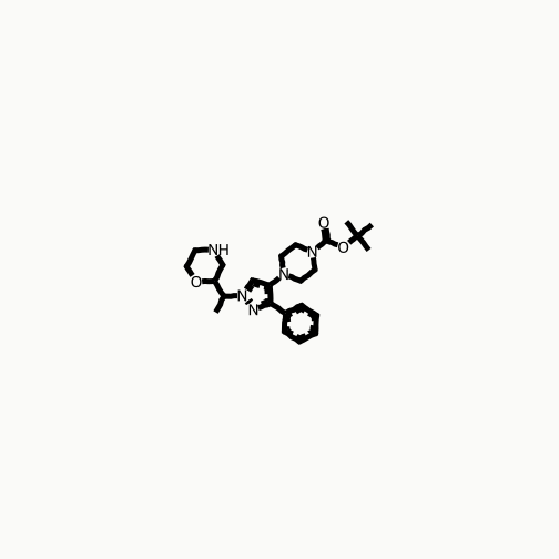 CC(C1CNCCO1)n1cc(N2CCN(C(=O)OC(C)(C)C)CC2)c(-c2ccccc2)n1